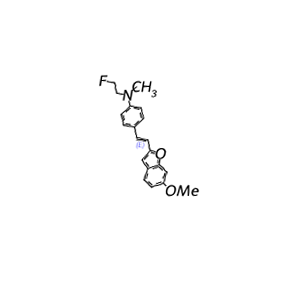 COc1ccc2cc(/C=C/c3ccc(N(C)CCF)cc3)oc2c1